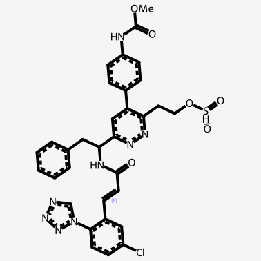 COC(=O)Nc1ccc(-c2cc(C(Cc3ccccc3)NC(=O)/C=C/c3cc(Cl)ccc3-n3cnnn3)nnc2CCO[SH](=O)=O)cc1